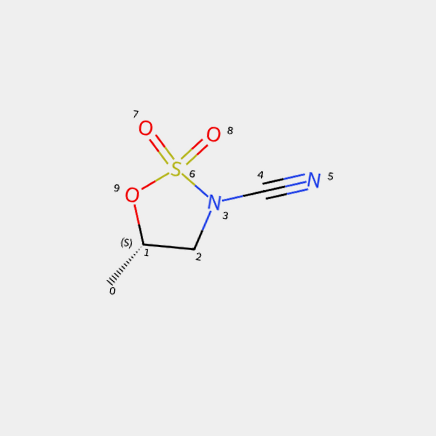 C[C@H]1CN(C#N)S(=O)(=O)O1